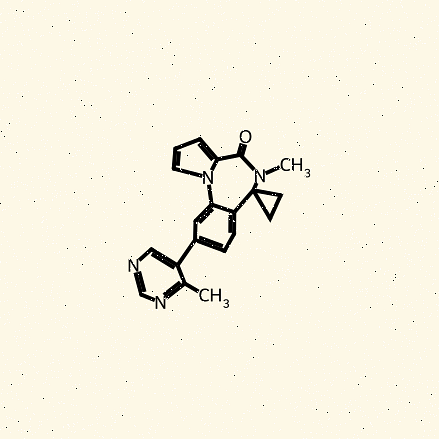 Cc1ncncc1-c1ccc2c(c1)-n1cccc1C(=O)N(C)C21CC1